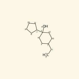 CCC1CCC(O)(C2CCCC2)CC1